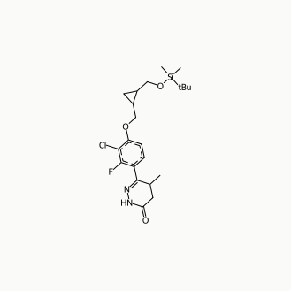 CC1CC(=O)NN=C1c1ccc(OCC2CC2CO[Si](C)(C)C(C)(C)C)c(Cl)c1F